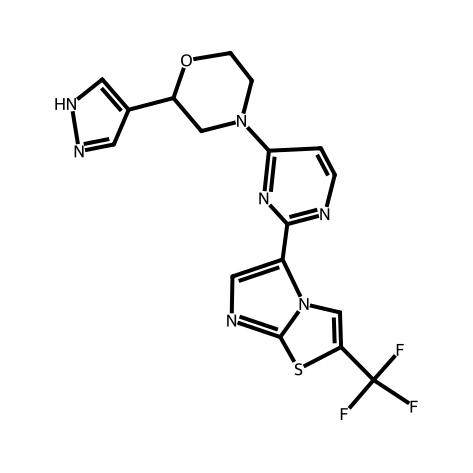 FC(F)(F)c1cn2c(-c3nccc(N4CCOC(c5cn[nH]c5)C4)n3)cnc2s1